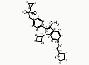 Nc1c(-c2ccc(CS(=O)(=O)C3CC3)cc2)n(C2CCC2)c2cc(OCC3CCCO3)ccc12